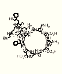 CCC(C)CCCCCCC(=O)NC(Cc1c[nH]c2ccccc12)C(=O)NC(CC(N)=O)C(=O)NC(CC(=O)O)C(=O)NC1C(=O)NCC(=O)NC(CCCN)C(=O)NC(CC(=O)O)C(=O)NC(CC(N)=O)C(=O)NC(CC(=O)O)C(=O)NCC(=O)NC(CO)C(=O)NC(C(C)CC(=O)O)C(=O)NC(Cc2c[nH]c3ccccc23)C(=O)OC1C